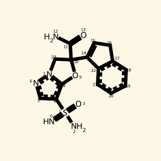 N=S(N)(=O)c1cnn2c1OC(C(N)=O)(C1=CCc3ccccc31)C2